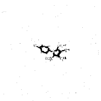 CCOC(=O)c1c(O)c(O)c(C(=O)OCC)n1-c1ccc(C(C)C)cc1